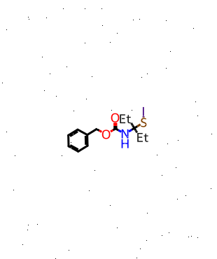 CCC(CC)(NC(=O)OCc1ccccc1)SI